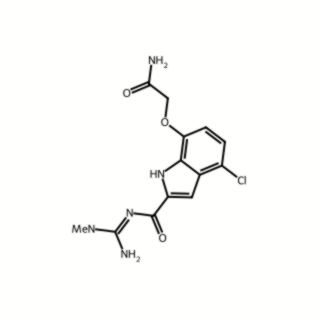 CNC(N)=NC(=O)c1cc2c(Cl)ccc(OCC(N)=O)c2[nH]1